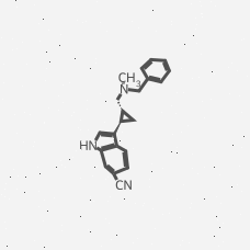 CN(Cc1ccccc1)C[C@@H]1C[C@H]1c1c[nH]c2cc(C#N)ccc12